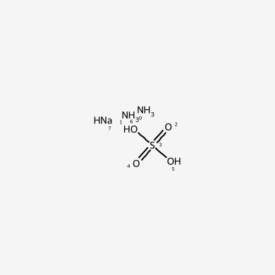 N.N.O=S(=O)(O)O.[NaH]